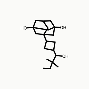 CCC(C)(C)C(O)C1CC(C23CC4CC(O)(CC(O)(C4)C2)C3)C1